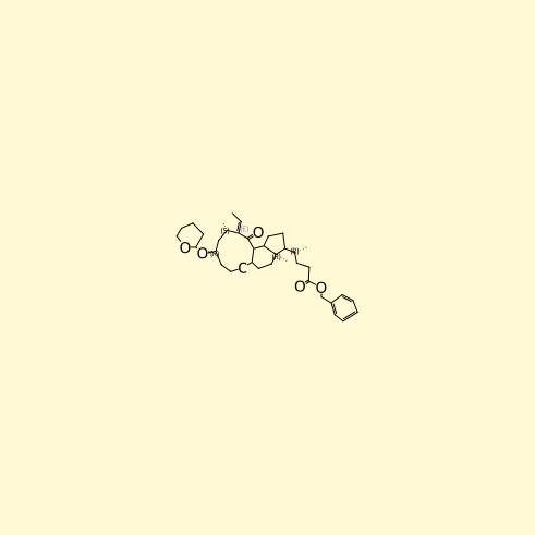 C/C=C1/C(=O)C2C(CCC[C@@H](OC3CCCCO3)C[C@@H]1C)CC[C@@]1(C)C2CCC1[C@H](C)CCC(=O)OCc1ccccc1